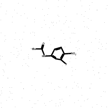 CC(C)(C)C(=O)Nc1ccc([N+](=O)[O-])c(F)c1